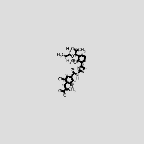 CCCO[C@H](c1cccc(-c2csc(NC(=O)c3cc(Cl)c(C=C(C)C(=O)O)c(Cl)c3)n2)c1OC)C(C)C